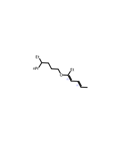 C/C=C/C=C(\CC)OCCCC(CC)CCC